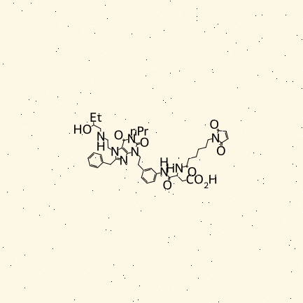 CCCn1c(=O)c2c(nc(Cc3ccccc3)n2CCNCC(O)CC)n(CCc2cccc(NC(=O)C(CC(=O)O)NC(=O)CCCCCN3C(=O)C=CC3=O)c2)c1=O